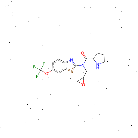 O=C(C1CCCN1)N(CC1CO1)c1nc2ccc(OC(F)(F)F)cc2s1